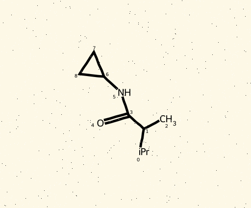 CC(C)C(C)C(=O)NC1CC1